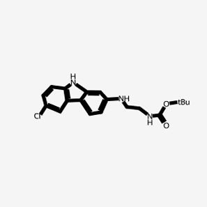 CC(C)(C)OC(=O)NCCNc1ccc2c(c1)[nH]c1ccc(Cl)cc12